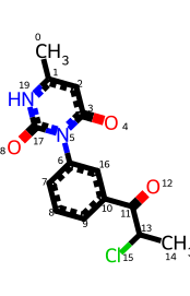 Cc1cc(=O)n(-c2cccc(C(=O)C(C)Cl)c2)c(=O)[nH]1